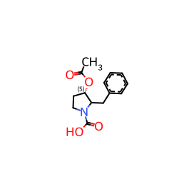 CC(=O)O[C@H]1CCN(C(=O)O)C1Cc1ccccc1